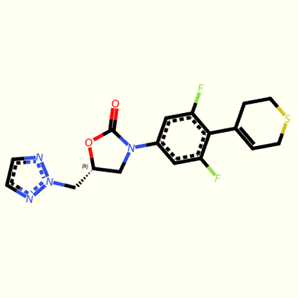 O=C1O[C@@H](Cn2nccn2)CN1c1cc(F)c(C2=CCSCC2)c(F)c1